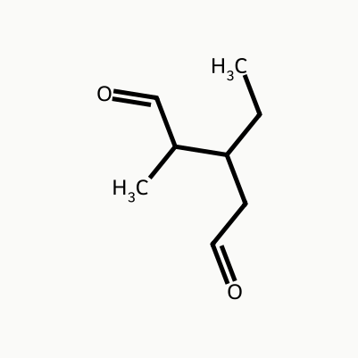 CCC(CC=O)C(C)C=O